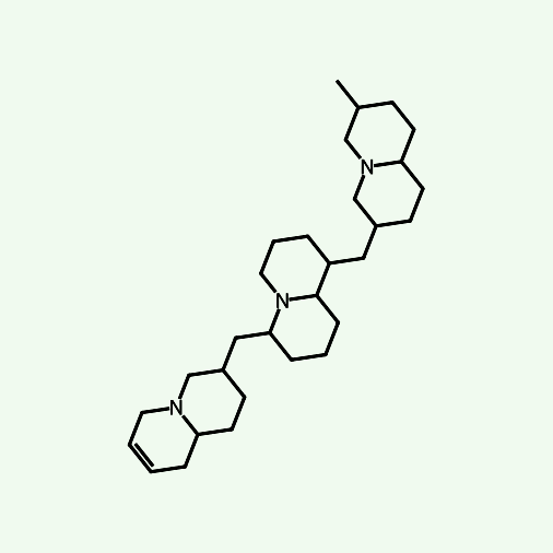 CC1CCC2CCC(CC3CCCN4C(CC5CCC6CC=CCN6C5)CCCC34)CN2C1